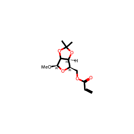 C=CC(=O)OC[C@H]1O[C@@H](OC)C2OC(C)(C)O[C@H]21